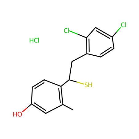 Cc1cc(O)ccc1C(S)Cc1ccc(Cl)cc1Cl.Cl